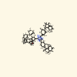 c1ccc2c(c1)-c1ccccc1C1(c3ccc(-c4nc(-c5ccc(-c6cccc7ccccc67)cc5)nc(-c5ccc(-c6cccc7ccccc67)cc5)n4)cc3-2)c2ccccc2-c2ccccc21